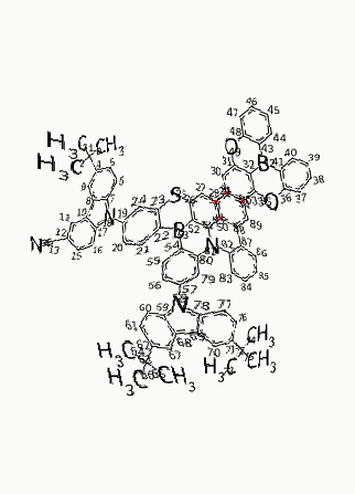 CC(C)(C)c1ccc2c(c1)c1cc(C#N)ccc1n2-c1ccc2c(c1)Sc1cc(-c3cc4c5c(c3)Oc3ccccc3B5c3ccccc3O4)cc3c1B2c1ccc(-n2c4ccc(C(C)(C)C)cc4c4cc(C(C)(C)C)ccc42)cc1N3c1ccccc1-c1ccccc1